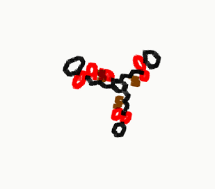 O=C(CC(=S)Cc1cc(CC(=S)CC(=O)OC2CCCCC2)c(O)c(CC(=S)CC(=O)OC2CCCCC2)c1)OC1CCCCC1